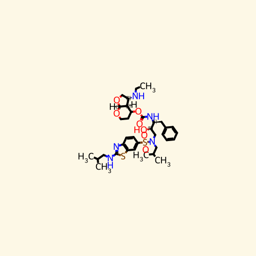 CCN[C@H]1CO[C@@H]2OCCC(OC(=O)N[C@@H](Cc3ccccc3)[C@H](O)CN(CC(C)C)S(=O)(=O)c3ccc4nc(NCC(C)C)sc4c3)[C@@H]21